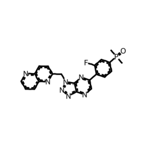 CP(C)(=O)c1ccc(-c2cnc3nnn(Cc4ccc5ncccc5n4)c3n2)c(F)c1